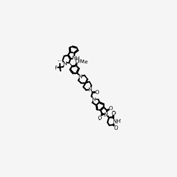 COc1cc(N2CCC3(CCN(C(=O)CN4Cc5cc6c(cc5C4)C(=O)N(C4CCC(=O)NC4=O)C6=O)CC3)CC2)ccc1[C@@H]1c2[nH]c3ccccc3c2C[C@@H](C)N1CC(C)(C)F